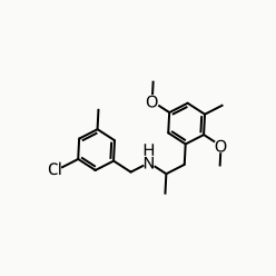 COc1cc(C)c(OC)c(CC(C)NCc2cc(C)cc(Cl)c2)c1